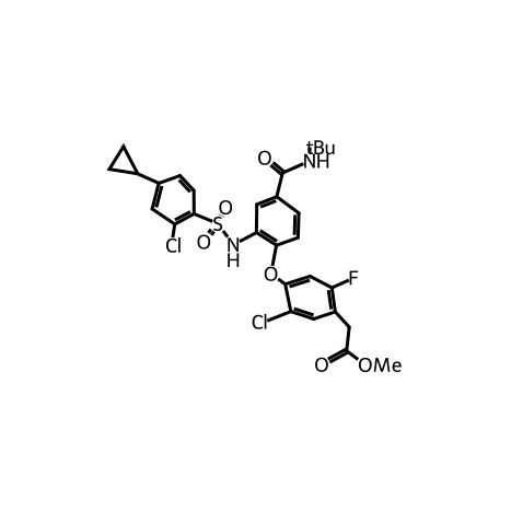 COC(=O)Cc1cc(Cl)c(Oc2ccc(C(=O)NC(C)(C)C)cc2NS(=O)(=O)c2ccc(C3CC3)cc2Cl)cc1F